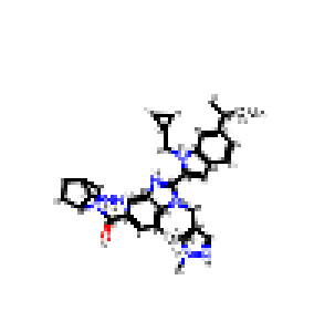 COc1cc(C(=O)N2CC3CCC2C3N)cc2nc(-c3cc4ccc(C(C)OC)cc4n3CC3CC3)n(Cc3cnn(C)c3)c12